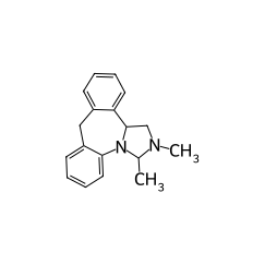 CC1N(C)CC2c3ccccc3Cc3ccccc3N21